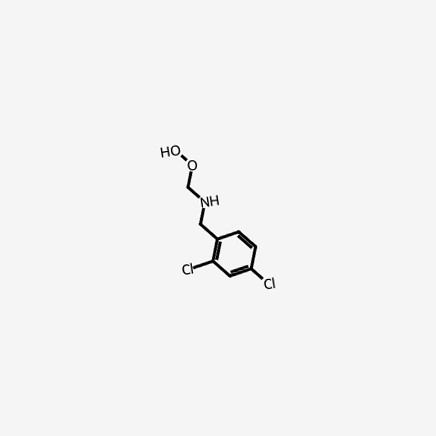 OOCNCc1ccc(Cl)cc1Cl